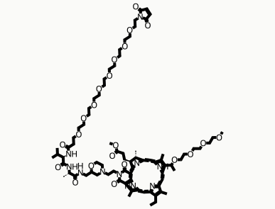 CCC1=C(C)c2cc3[nH]c(cc4nc(c5c6[nH]c(cc1n2)c(C)c6C(=O)N(CCN1CCOC(CNC(=O)[C@H](C)NC(=O)[C@@H](NC(=O)CCOCCOCCOCCOCCOCCOCCOCCOCCN2C(=O)C=CC2=O)C(C)C)C1)C5=O)[C@@H](CCC(=O)OC)[C@@H]4C)c(C)c3C(C)OCCOCCOCCOC